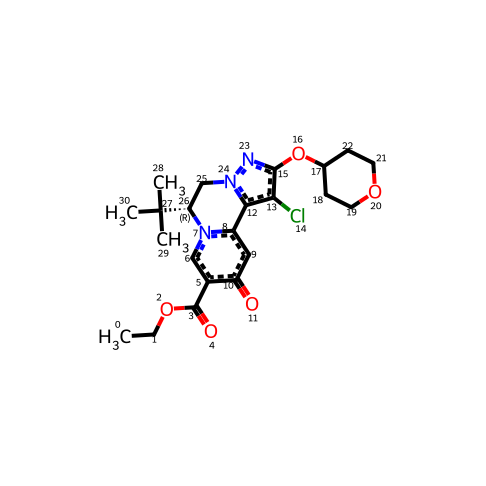 CCOC(=O)c1cn2c(cc1=O)-c1c(Cl)c(OC3CCOCC3)nn1C[C@H]2C(C)(C)C